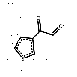 O=CC(=O)c1ccsc1